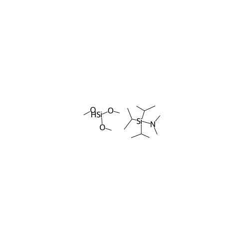 CC(C)[Si](C(C)C)(C(C)C)N(C)C.CO[SiH](OC)OC